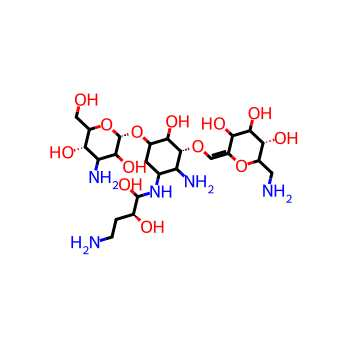 NCC[C@H](O)C(O)NC1CC(O[C@H]2OC(CO)[C@@H](O)C(N)C2O)C(O)[C@H](O/C=C2/OC(CN)[C@@H](O)C(O)C2O)C1N